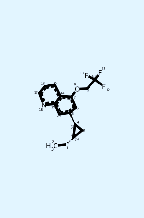 CC[C@H]1C[C@@H]1c1cc(OCC(F)(F)F)c2cccnc2c1